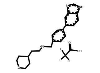 O=C(O)C(F)(F)F.c1nc2cc(-c3ccc(CNCCC4CCOCC4)cc3)ccc2[nH]1